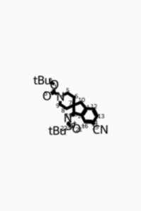 CC(C)(C)OC(=O)N1CCC2(CC1)Cc1ccc(C#N)cc1C2=N[S@+]([O-])C(C)(C)C